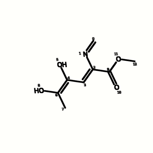 C=N/C(=C\C(O)=C(/C)O)C(=O)OC